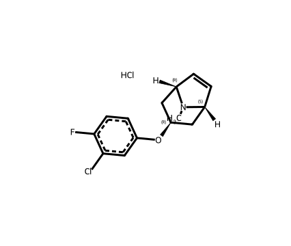 CN1[C@@H]2C=C[C@H]1C[C@H](Oc1ccc(F)c(Cl)c1)C2.Cl